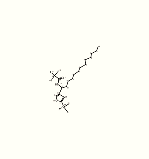 CCCCCCCCCCCCC(NC(=O)C(F)(F)F)c1coc([Si](C)(C)C)c1